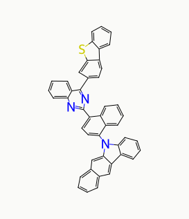 c1ccc2cc3c(cc2c1)c1ccccc1n3-c1ccc(-c2nc(-c3ccc4c(c3)sc3ccccc34)c3ccccc3n2)c2ccccc12